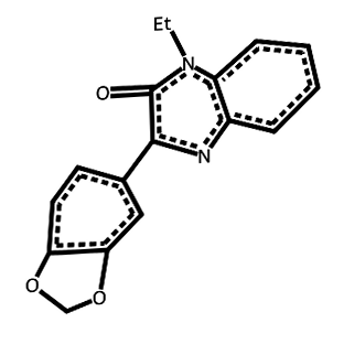 CCn1c(=O)c(-c2ccc3c(c2)OCO3)nc2ccccc21